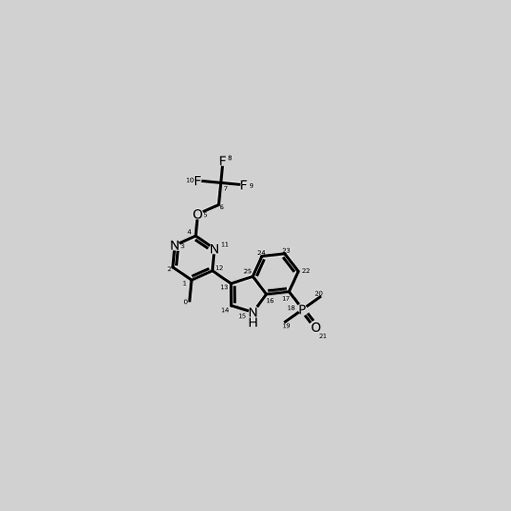 Cc1cnc(OCC(F)(F)F)nc1-c1c[nH]c2c(P(C)(C)=O)cccc12